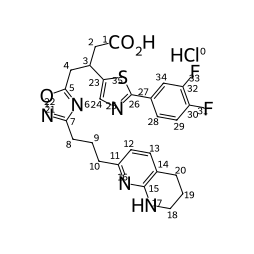 Cl.O=C(O)CC(Cc1nc(CCCc2ccc3c(n2)NCCC3)no1)c1cnc(-c2ccc(F)c(F)c2)s1